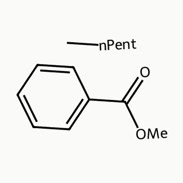 CCCCCC.COC(=O)c1ccccc1